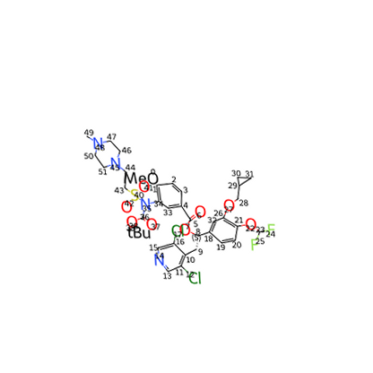 COc1ccc(C(=O)O[C@@H](Cc2c(Cl)cncc2Cl)c2ccc(OC(F)F)c(OCC3CC3)c2)cc1N(C(=O)OC(C)(C)C)S(=O)(=O)CCN1CCN(C)CC1